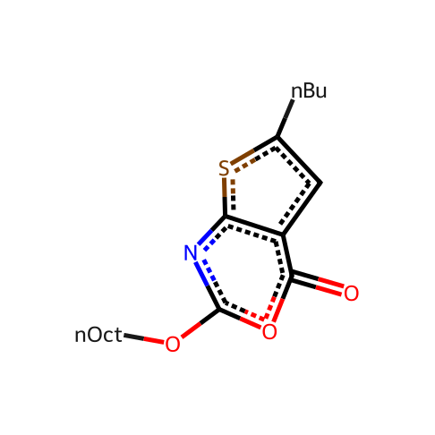 CCCCCCCCOc1nc2sc(CCCC)cc2c(=O)o1